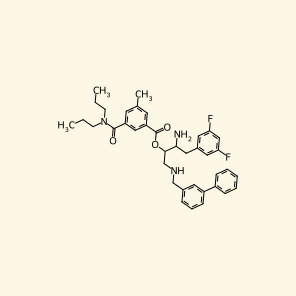 CCCN(CCC)C(=O)c1cc(C)cc(C(=O)OC(CNCc2cccc(-c3ccccc3)c2)C(N)Cc2cc(F)cc(F)c2)c1